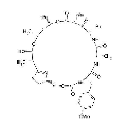 CCCCN1C(=O)O[C@H](C(C)(C)C)C[C@@H](C)C[C@H](O)[C@@H](C)C2=N[C@H](CCC(=O)N[C@@H](Cc3ccc(OC)cc3)C(=O)N[C@@H](C)C(=O)N[C@@H]([C@@H](C)CC)C1=O)CS2